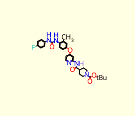 Cc1cc(Oc2ccnc(NC(=O)C3CCN(C(=O)OC(C)(C)C)CC3)c2)ccc1NC(=O)Nc1ccc(F)cc1